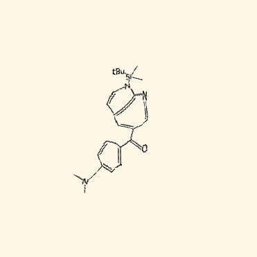 CN(C)c1ccc(C(=O)c2cnc3c(ccn3[Si](C)(C)C(C)(C)C)c2)cc1